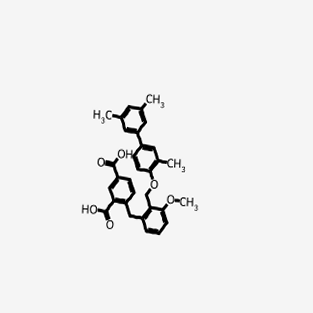 COc1cccc(Cc2ccc(C(=O)O)cc2C(=O)O)c1COc1ccc(-c2cc(C)cc(C)c2)cc1C